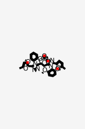 COc1cccc(OC)c1-n1c(CC(OS(C)(=O)=O)c2nnc(-c3ccc(C)o3)n2-c2c(OC)cccc2OC)nnc1-c1ccc(C)o1